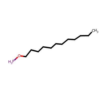 CCCCCCCCCCCCOP